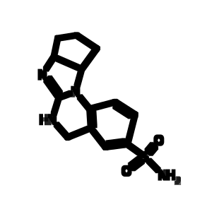 NS(=O)(=O)c1ccc2c(c1)CNC1=NC3CCCC3N12